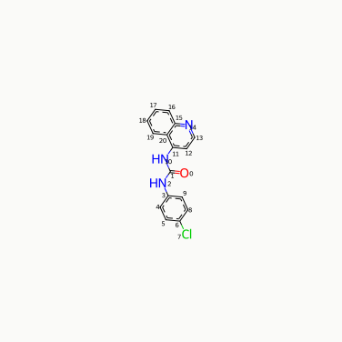 O=C(Nc1ccc(Cl)cc1)Nc1ccnc2ccccc12